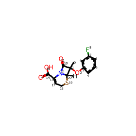 CC1(Oc2cccc(F)c2)C(=O)N2C(C(=O)O)=CCS[C@H]21